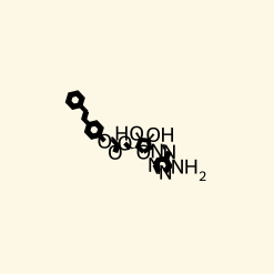 Nc1ncnc2c1ncn2[C@@H]1O[C@H](COC(=O)COc2ccc(C=Cc3ccccc3)cc2)[C@@H](O)[C@H]1O